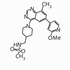 COc1cc(-c2cc(C)c3ncnc(N4CCC(CNS(C)(=O)=O)CC4)c3c2)ccn1